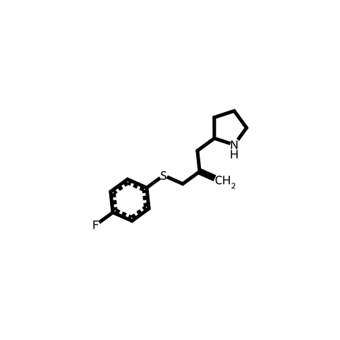 C=C(CSc1ccc(F)cc1)CC1CCCN1